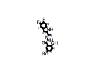 C/C(=N\NC(=O)c1cc(Br)ccc1O)c1cc2cc(F)c(F)cc2[nH]1